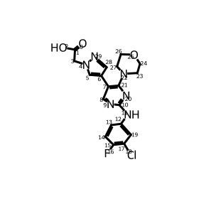 O=C(O)Cn1cc(-c2cnc(Nc3ccc(F)c(Cl)c3)nc2N2CCOCC2)cn1